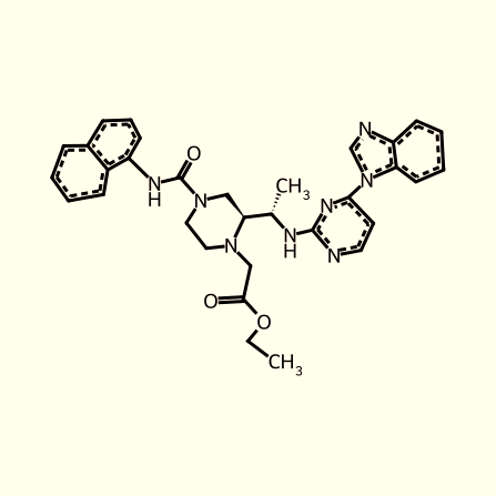 CCOC(=O)CN1CCN(C(=O)Nc2cccc3ccccc23)C[C@H]1[C@H](C)Nc1nccc(-n2cnc3ccccc32)n1